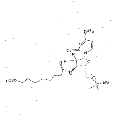 CCCCCCCCCCCCCCCCCC(=O)O[C@@H]1[C@@H](CO[Si](C)(C)C(C)(C)C)O[C@@H](n2ccc(N)nc2=O)C1(F)F